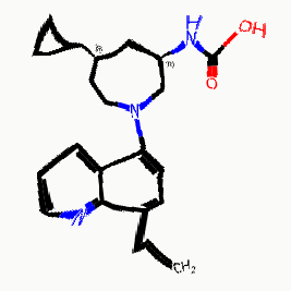 C=Cc1ccc(N2C[C@H](NC(=O)O)C[C@H](C3CC3)C2)c2cccnc12